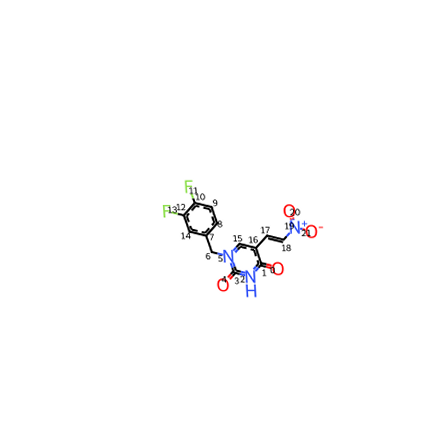 O=c1[nH]c(=O)n(Cc2ccc(F)c(F)c2)cc1/C=C/[N+](=O)[O-]